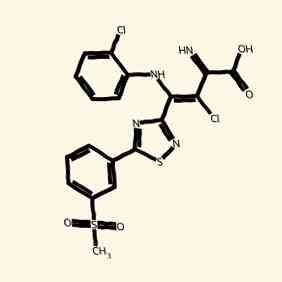 CS(=O)(=O)c1cccc(-c2nc(/C(Nc3ccccc3Cl)=C(\Cl)C(=N)C(=O)O)ns2)c1